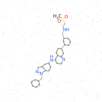 CS(=O)(=O)CCNCc1cccc(-c2ccc3c(Nc4ccc5c(cnn5Cc5ccccc5)c4)ccnc3c2)c1